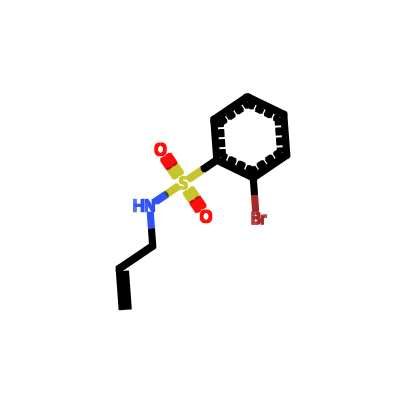 C=CCNS(=O)(=O)c1ccccc1Br